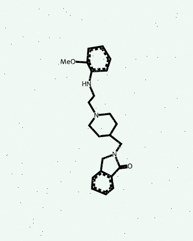 COc1ccccc1NCCN1CCC(CN2Cc3ccccc3C2=O)CC1